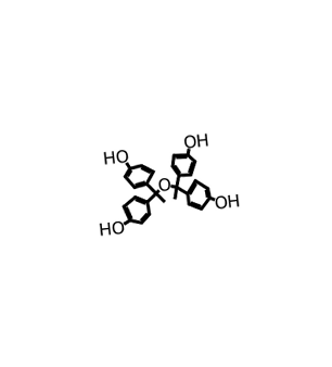 CC(OC(C)(c1ccc(O)cc1)c1ccc(O)cc1)(c1ccc(O)cc1)c1ccc(O)cc1